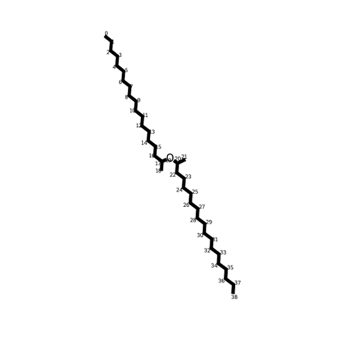 CCCCCCCCCCCCCCCCCC(C)OC(C)CCCCCCCCCCCCCCCCC